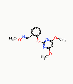 CON=Cc1ccccc1Oc1nc(OC)cc(OC)n1